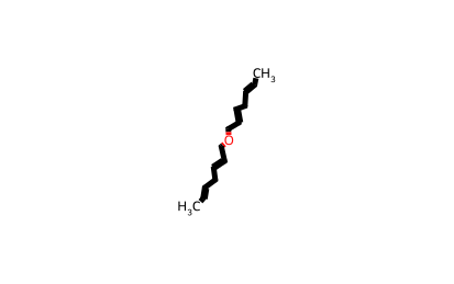 CC=CCC=CCOCC=CCC=CC